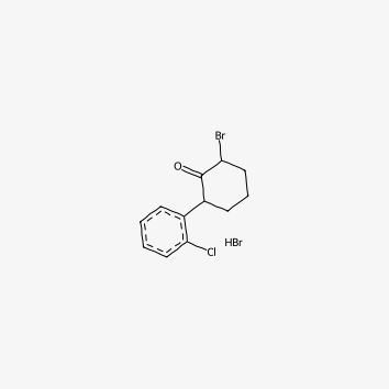 Br.O=C1C(Br)CCCC1c1ccccc1Cl